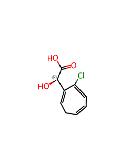 O=C(O)[C@H](O)C1=CCC=CC=C1Cl